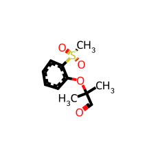 CC(C)(C=O)Oc1ccccc1S(C)(=O)=O